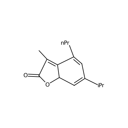 CCCC1=CC(C(C)C)=CC2OC(=O)C(C)=C12